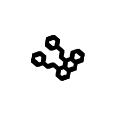 C(=Cc1cccc2cc3ccccc3c(C=Cc3ccccc3)c12)c1ccccc1